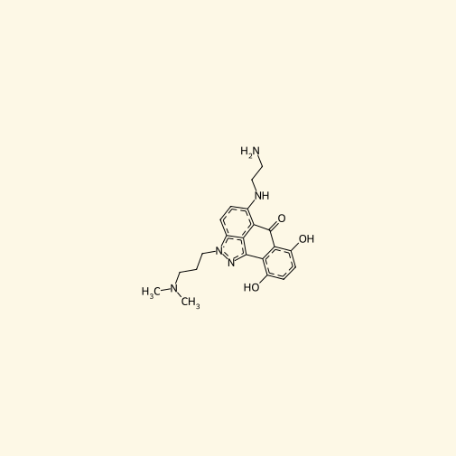 CN(C)CCCn1nc2c3c(c(NCCN)ccc31)C(=O)c1c(O)ccc(O)c1-2